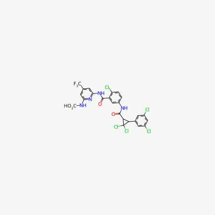 O=C(O)Nc1cc(C(F)(F)F)cc(NC(=O)c2cc(NC(=O)C3C(c4cc(Cl)cc(Cl)c4)C3(Cl)Cl)ccc2Cl)n1